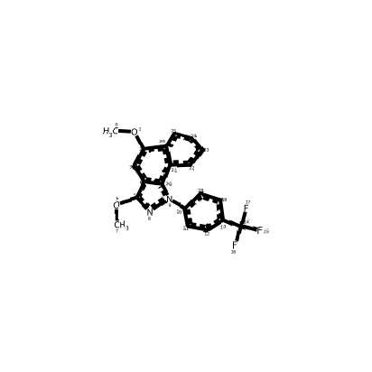 COc1cc2c(OC)nn(-c3ccc(C(F)(F)F)cc3)c2c2ccccc12